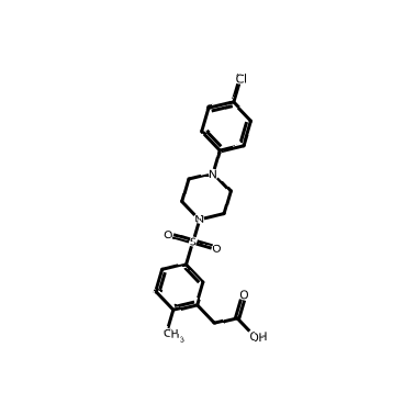 Cc1ccc(S(=O)(=O)N2CCN(c3ccc(Cl)cc3)CC2)cc1CC(=O)O